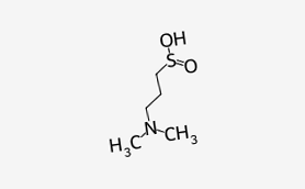 CN(C)CCCS(=O)O